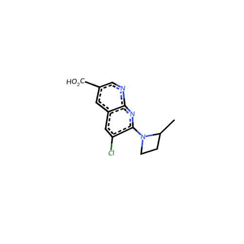 CC1CCN1c1nc2ncc(C(=O)O)cc2cc1Cl